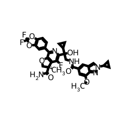 COc1cc(C(=O)NCC(O)(c2nc(-c3ccc4c(c3)OC(F)(F)O4)c3c(c2F)[C@@](C)(C(N)=O)CO3)C2CC2)cc2cn(C3CC3)nc12